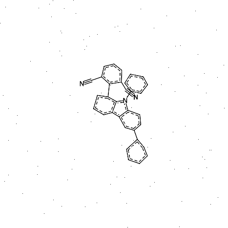 N#Cc1cccc(C#N)c1-c1cccc2c3cc(-c4ccccc4)ccc3n(-c3ccccc3)c12